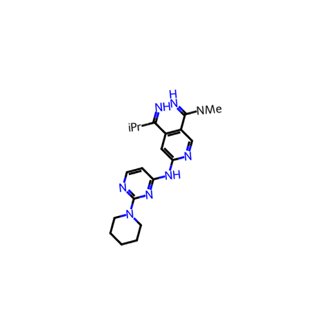 CNC(=N)c1cnc(Nc2ccnc(N3CCCCC3)n2)cc1C(=N)C(C)C